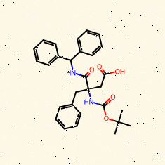 CC(C)(C)OC(=O)N[C@](CC(=O)O)(Cc1ccccc1)C(=O)NC(c1ccccc1)c1ccccc1